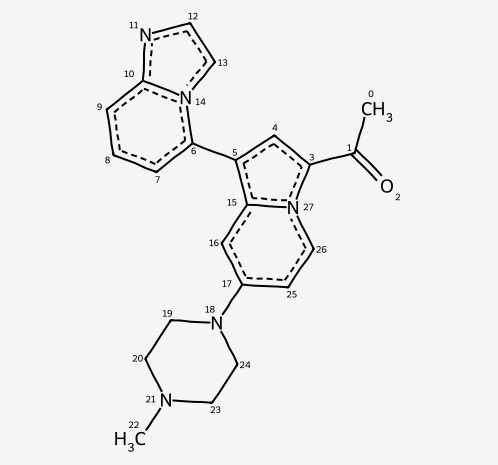 CC(=O)c1cc(-c2cccc3nccn23)c2cc(N3CCN(C)CC3)ccn12